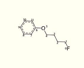 F[CH]CCCOc1ccccc1